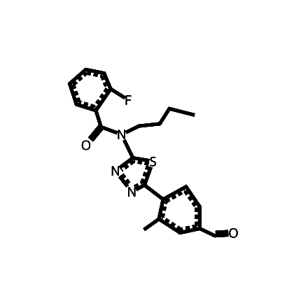 CCCCN(C(=O)c1ccccc1F)c1nnc(-c2ccc(C=O)cc2C)s1